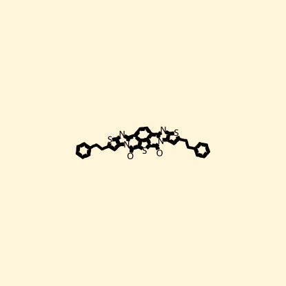 O=c1c2sc3c(=O)n4c5cc(CCc6ccccc6)sc5nc4c4ccc(c2c34)c2nc3sc(CCc4ccccc4)cc3n12